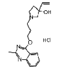 C=CC1(O)CCN(CCCOc2nc(C)nc3ccccc23)C1.Cl